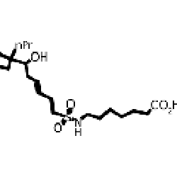 CCCC1(C(O)CC=CCCS(=O)(=O)NCCCCCCC(=O)O)CCC1